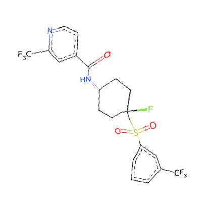 O=C(N[C@H]1CC[C@@](F)(S(=O)(=O)c2cccc(C(F)(F)F)c2)CC1)c1ccnc(C(F)(F)F)c1